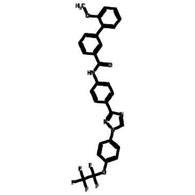 COc1ccccc1-c1cccc(C(=O)Nc2ccc(-c3ncn(-c4ccc(OC(F)(F)C(F)(F)F)cc4)n3)cc2)c1